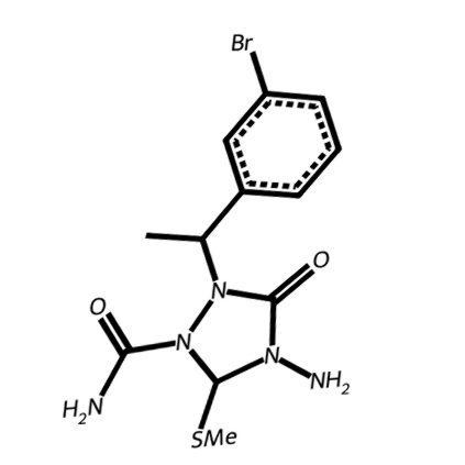 CSC1N(N)C(=O)N(C(C)c2cccc(Br)c2)N1C(N)=O